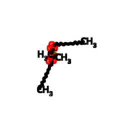 CCCCCCCCCCCCCC(=O)OC(=O)C(C)SC(C)C(=O)OC(=O)CCCCCCCCCCCCC